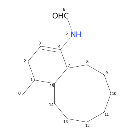 CC1CC=C(NC=O)C2CCCCCCCC12